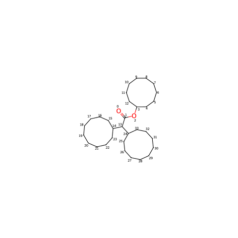 O=C(OC1CCCCCCCCC1)C(C1CCCCCCCCC1)C1CCCCCCCCC1